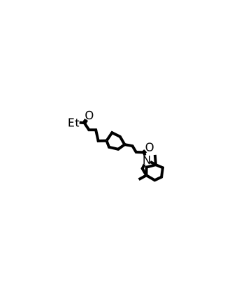 CCC(=O)CCCC1CCC(CCC(=O)N2CC3(C)CCCC2(C)C3)CC1